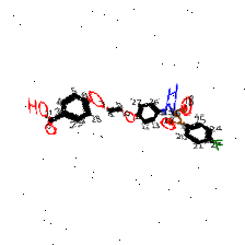 O=C(O)c1ccc(OCCOc2ccc(NS(=O)(=O)c3ccc(F)cc3)cc2)cc1